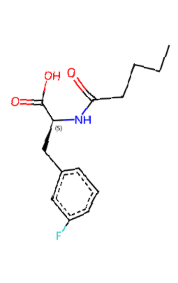 CCCCC(=O)N[C@@H](Cc1cccc(F)c1)C(=O)O